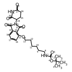 CC(C)(C)OC(=O)NCCCCCCOc1cccc2c1C(=O)N(C1CCC(=O)NC1=O)C2=O